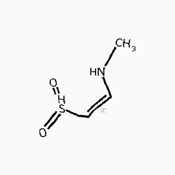 CN/C=C\[SH](=O)=O